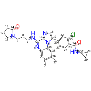 Cc1cc2nc(NCCCN3CCCC3=O)c3ncc(-c4ccc(C(=O)NC5CC5)c(Cl)c4)n3c2cc1C